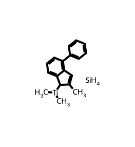 CC1=Cc2c(-c3ccccc3)cccc2[CH]1[Ti]([CH3])[CH3].[SiH4]